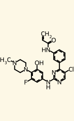 C=CC(=O)Nc1cccc(-c2nc(Nc3cc(O)c(N4CCN(C)CC4)c(F)c3)ncc2Cl)c1